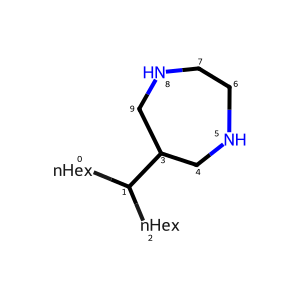 CCCCCCC(CCCCCC)C1CNCCNC1